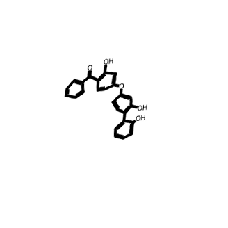 O=C(c1ccccc1)c1ccc(Oc2ccc(-c3ccccc3O)c(O)c2)cc1O